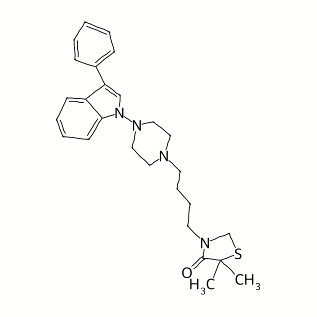 CC1(C)SCN(CCCCN2CCN(n3cc(-c4ccccc4)c4ccccc43)CC2)C1=O